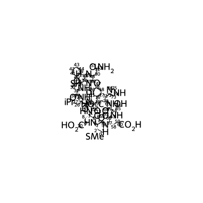 CSCC[C@H](NC(=O)[C@H](CCC(=O)O)NC(=O)[C@H](Cc1ccccc1)NC(=O)[C@H](CC(C)C)NC(=O)[C@H](CS)NC(=O)[C@H](Cc1ccccc1)NC(=O)[C@@H](N)CC(N)=O)C(=O)N[C@@H](CCC(=O)O)C(=O)N[C@@H](CO)C(=O)N[C@@H](Cc1c[nH]cn1)C(=O)O